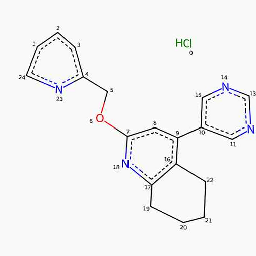 Cl.c1ccc(COc2cc(-c3cncnc3)c3c(n2)CCCC3)nc1